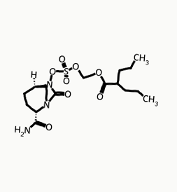 CCCC(CCC)C(=O)OCOS(=O)(=O)ON1C(=O)N2C[C@H]1CC[C@H]2C(N)=O